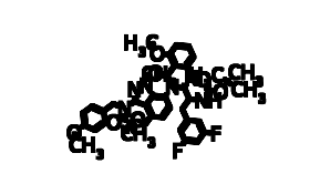 COc1ccc(CN(c2nn(C)c3c(-n4c(C(Cc5cc(F)cc(F)c5)NC(=O)OC(C)(C)C)nc5cccc(OC)c5c4=O)ccc(Cl)c23)S(C)(=O)=O)cc1